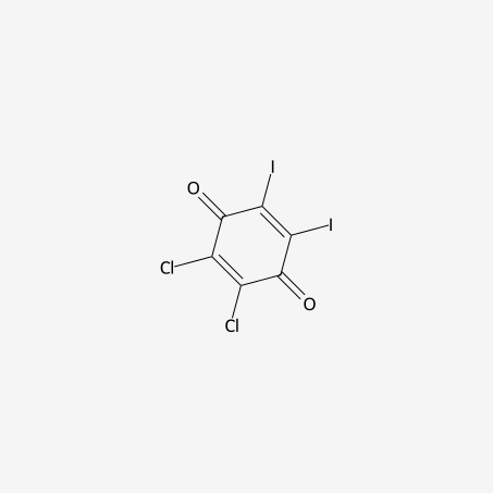 O=C1C(Cl)=C(Cl)C(=O)C(I)=C1I